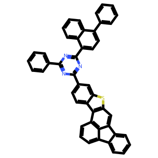 c1ccc(-c2nc(-c3ccc4c(c3)sc3cc5c6c(cccc6c34)-c3ccccc3-5)nc(-c3ccc(-c4ccccc4)c4ccccc34)n2)cc1